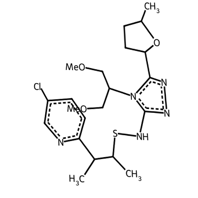 COCC(COC)n1c(NSC(C)C(C)c2ccc(Cl)cn2)nnc1C1CCC(C)O1